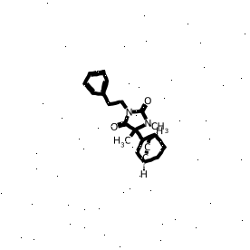 CN1C(=O)N(CCc2ccccc2)C(=O)C1(C)C1C[C@H]2CCC[C@@H]1CC2